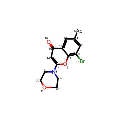 CC(=O)c1cc(Br)c2oc(N3CCOCC3)cc(=O)c2c1